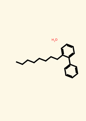 CCCCCCCCc1ccccc1-c1ccccc1.O